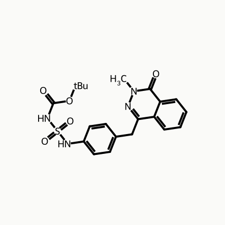 Cn1nc(Cc2ccc(NS(=O)(=O)NC(=O)OC(C)(C)C)cc2)c2ccccc2c1=O